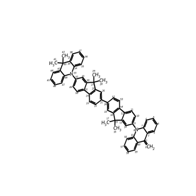 C=C1c2ccccc2N(c2ccc3c(c2)C(C)(C)c2cc(-c4ccc5c(c4)C(C)(C)c4cc(N6c7ccccc7C(C)(C)c7ccccc76)ccc4-5)ccc2-3)c2ccccc21